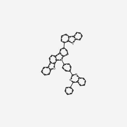 c1ccc(-c2nc(-c3ccc(-n4c5ccc(-c6cccc7c6sc6ccccc67)cc5c5ccc6c7ccccc7oc6c54)cc3)nc3ccccc23)cc1